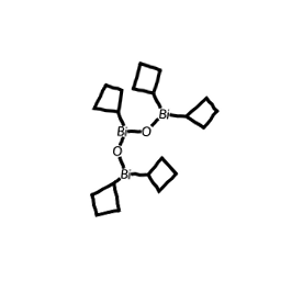 C1C[CH]([Bi]([O][Bi]([CH]2CCC2)[CH]2CCC2)[O][Bi]([CH]2CCC2)[CH]2CCC2)C1